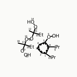 CC(C)c1cccc(OO)c1C(C)C.CCC(C)(OO)OOC(C)(CC)OO